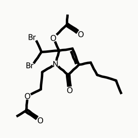 CCCCC1=CC(OC(C)=O)(C(Br)Br)N(CCOC(C)=O)C1=O